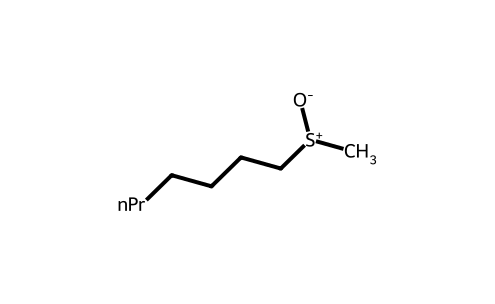 CCCCCCC[S+](C)[O-]